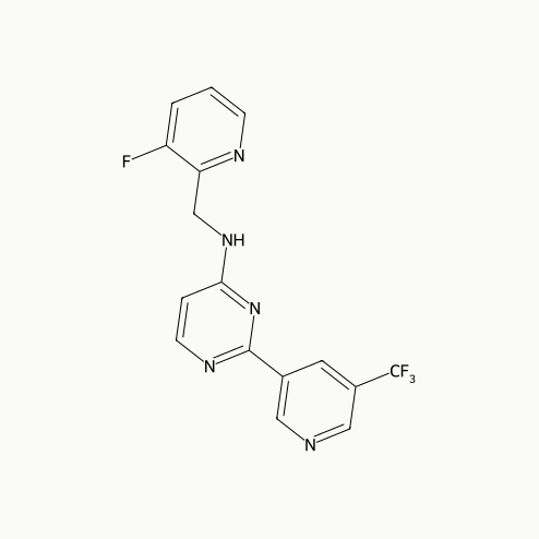 Fc1cccnc1CNc1ccnc(-c2cncc(C(F)(F)F)c2)n1